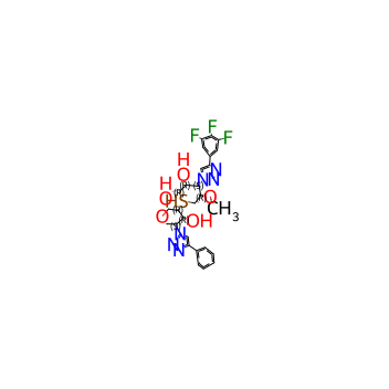 CO[C@H]1C[SH]([C@@H]2COC[C@H](n3cc(-c4ccccc4)nn3)[C@H]2O)[C@H](CO)[C@H](O)[C@@H]1n1cc(-c2cc(F)c(F)c(F)c2)nn1